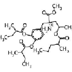 CCCC(C)C(=O)OC(C)C[C@@](N)(Cc1ccc(OC(=O)C(C)CC)c(OC(=O)C(C)CC)c1)C(=O)OC